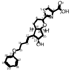 O=C(O)c1csc(C2CC[C@@H]3C(/C=C/CCOc4ccccc4)[C@H](O)C[C@@H]3O2)n1